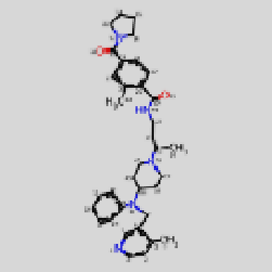 Cc1ccncc1CN(c1ccccc1)C1CCN([C@H](C)CCNC(=O)c2ccc(C(=O)N3CCCC3)cc2C)CC1